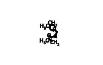 CN(C)C(=O)C1CC1CN1CCC(C)(C)CC1